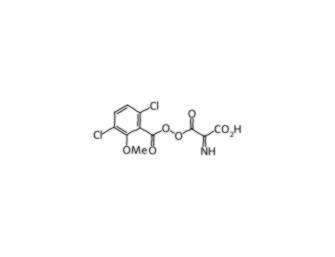 COc1c(Cl)ccc(Cl)c1C(=O)OOC(=O)C(=N)C(=O)O